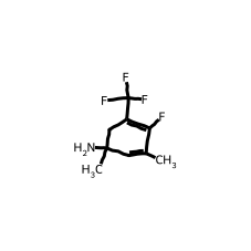 CC1=CC(C)(N)CC(C(F)(F)F)=C1F